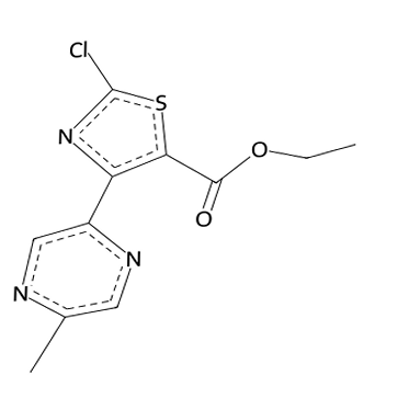 CCOC(=O)c1sc(Cl)nc1-c1cnc(C)cn1